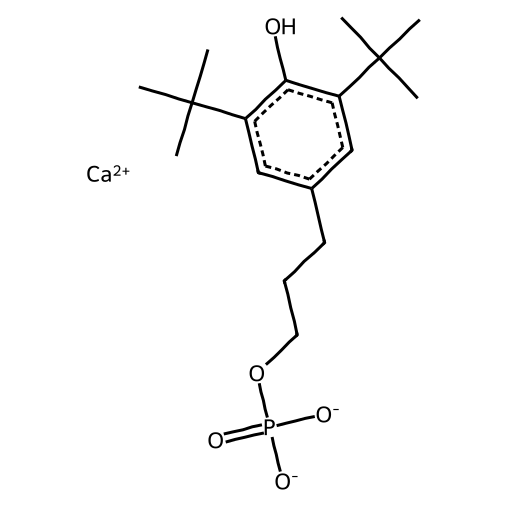 CC(C)(C)c1cc(CCCOP(=O)([O-])[O-])cc(C(C)(C)C)c1O.[Ca+2]